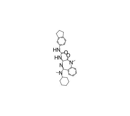 CN1C(=O)[C@H](NC(=O)Nc2ccc3c(c2)CCC3)N=C(N(C)C2CCCCC2)c2ccccc21